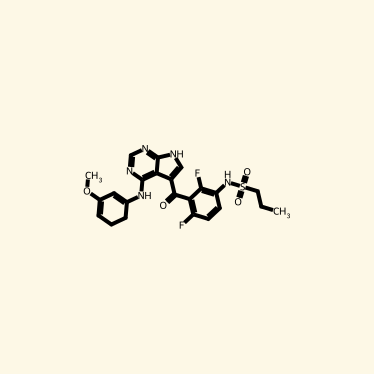 CCCS(=O)(=O)Nc1ccc(F)c(C(=O)c2c[nH]c3ncnc(NC4=CC(OC)=CCC4)c23)c1F